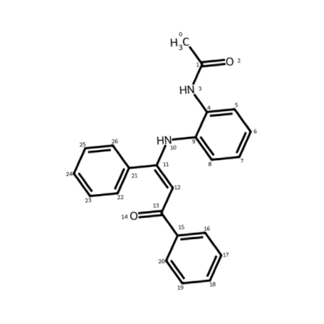 CC(=O)Nc1ccccc1NC(=CC(=O)c1ccccc1)c1ccccc1